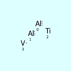 [Al].[Al].[Ti].[V]